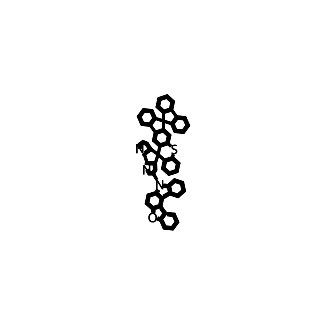 c1ccc2c(c1)Sc1cc3c(cc1C21c2cccnc2-c2ncc(-n4c5ccccc5c5c6c(ccc54)oc4ccccc46)cc21)-c1ccccc1C31c2ccccc2-c2ccccc21